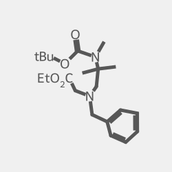 CCOC(=O)CN(Cc1ccccc1)CC(C)(C)N(C)C(=O)OC(C)(C)C